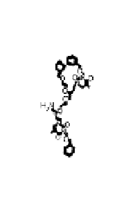 CC1CN(CC[C@@H](CN)OCCOC[C@H](CCN2CC(C)C(=O)N(COCc3ccccc3)C2=O)OCCOCc2ccccc2)C(=O)N(COCc2ccccc2)C1=O